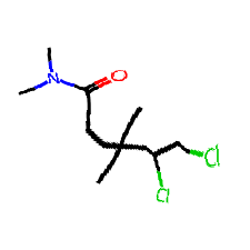 CN(C)C(=O)CC(C)(C)C(Cl)CCl